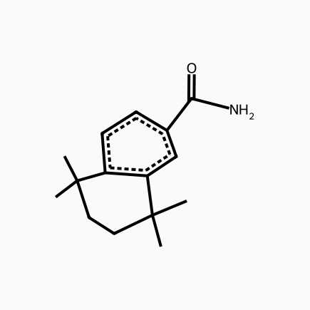 CC1(C)CCC(C)(C)c2cc(C(N)=O)ccc21